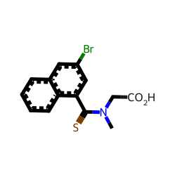 CN(CC(=O)O)C(=S)c1cc(Br)cc2ccccc12